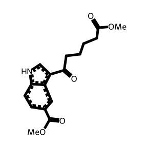 COC(=O)CCCCC(=O)c1c[nH]c2ccc(C(=O)OC)cc12